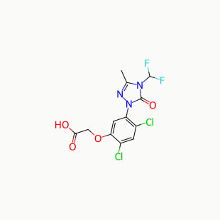 Cc1nn(-c2cc(OCC(=O)O)c(Cl)cc2Cl)c(=O)n1C(F)F